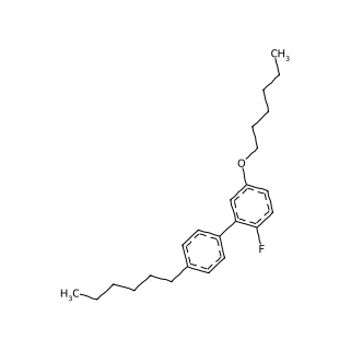 CCCCCCOc1ccc(F)c(-c2ccc(CCCCCC)cc2)c1